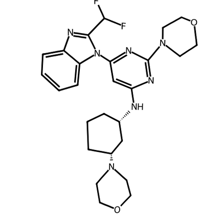 FC(F)c1nc2ccccc2n1-c1cc(N[C@H]2CCC[C@@H](N3CCOCC3)C2)nc(N2CCOCC2)n1